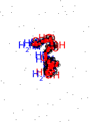 CC[C@]1(NC(=O)CNc2ccc([Si](C)(C)O[Si]3(C)CC(C(=O)O)N(C(=O)CC[C@H](NC(=O)c4ccc(NCc5cnc6nc(N)[nH]c(=O)c6n5)cc4)C(=O)O)C3)cc2)CC2CCN(CCc3c([nH]c4ccccc34)[C@@](C(=O)OC)(c3cc4c(cc3OC)N(C)[C@H]3[C@@](O)(C(N)=O)[C@H](O)[C@]5(CC)C=CCN6CC[C@]43[C@H]65)C2)C1